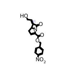 O=C(OCc1ccc([N+](=O)[O-])cc1)C1=CCC2/C(=C\CO)C(=O)N12